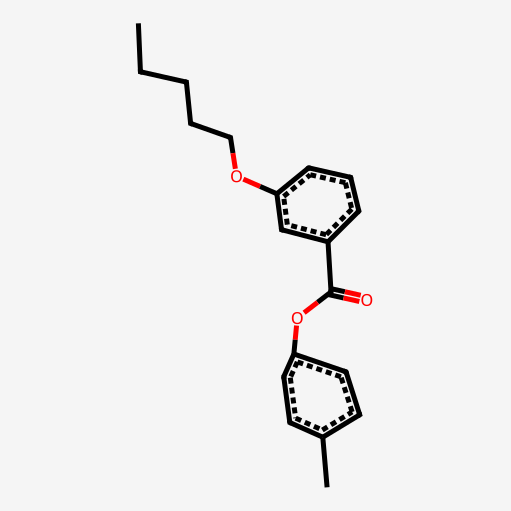 CCCCCOc1cccc(C(=O)Oc2ccc(C)cc2)c1